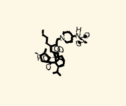 CCCCC1CC(C2C3C=C(C(C)C)C2(C(=O)O)C(C=O)([C@@H]2CC[C@@H](C)C2C)C3)OC1CN1CCC(NS(C)(=O)=O)CC1